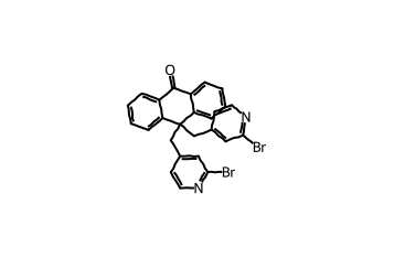 O=C1c2ccccc2C(Cc2ccnc(Br)c2)(Cc2ccnc(Br)c2)c2ccccc21